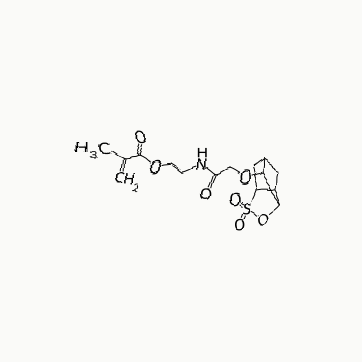 C=C(C)C(=O)OCCNC(=O)COC1C2CC3C1OS(=O)(=O)C3C2